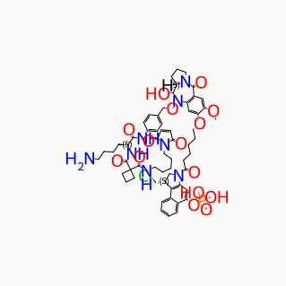 COc1cc2c(cc1OCCCCCC(=O)N1C[C@@H](CCl)c3c1cc(OP(=O)(O)O)c1ccccc31)N(OCc1ccc(NC(=O)[C@H](CCCCN)NC(=O)C3(C(=O)NCCCCCN4C(=O)C=CC4=O)CCC3)cc1)C(O)[C@@H]1CCCN1C2=O